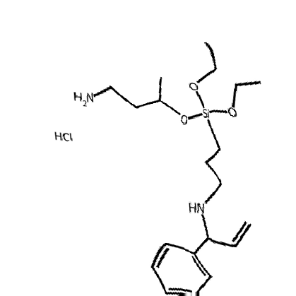 C=CC(NCCC[Si](OCC)(OCC)OC(C)CCN)c1ccccc1.Cl